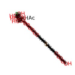 CC(=O)NC1[C@H](OCCOCCOCCOCCOCCOCCOCCCCCCCCCCSSCCCCCCCCCCCOCCOCCOCCOCCO)OC(CO)[C@@H](O[C@@H]2OC(CO)[C@H](F)[C@H](O)C2O)[C@@H]1O